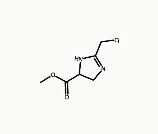 COC(=O)C1CN=C(CCl)N1